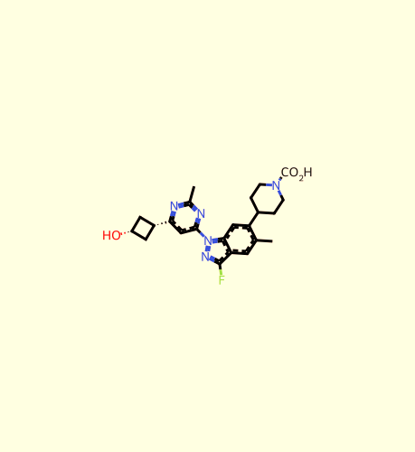 Cc1nc(-n2nc(F)c3cc(C)c(C4CCN(C(=O)O)CC4)cc32)cc([C@H]2C[C@@H](O)C2)n1